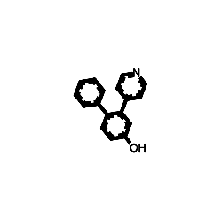 Oc1ccc(-c2ccccc2)c(-c2ccncc2)c1